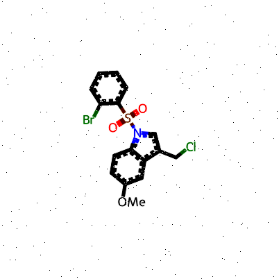 COc1ccc2c(c1)c(CCl)cn2S(=O)(=O)c1ccccc1Br